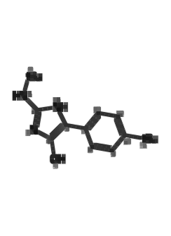 CC(C)(C)Nc1nc(O)c(-c2ccc(C(C)(C)C)cc2)[nH]1